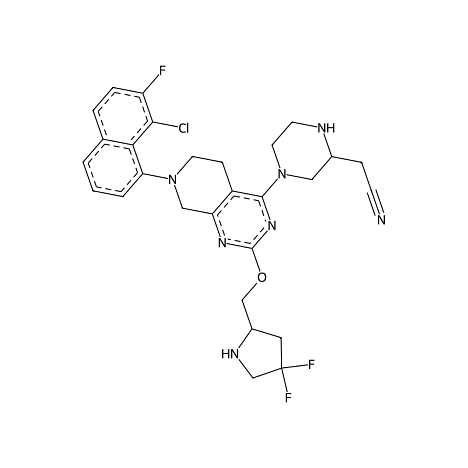 N#CCC1CN(c2nc(OCC3CC(F)(F)CN3)nc3c2CCN(c2cccc4ccc(F)c(Cl)c24)C3)CCN1